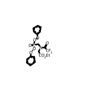 CCOC(=O)CN(CP(=O)(OOc1ccccc1)OOc1ccccc1)C(=O)C(F)(F)F